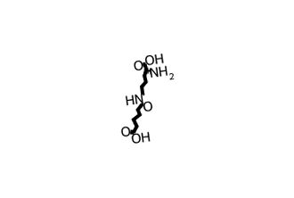 N[C@@H](CCCCNC(=O)CCCCC(=O)O)C(=O)O